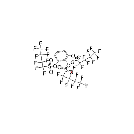 O=S(=O)(Oc1cccc(OS(=O)(=O)C(F)(F)C(F)(F)C(F)(F)C(F)(F)F)c1OS(=O)(=O)C(F)(F)C(F)(F)C(F)(F)C(F)(F)F)C(F)(F)C(F)(F)C(F)(F)C(F)(F)F